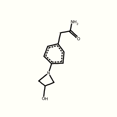 NC(=O)[CH]c1ccc(N2CC(O)C2)cc1